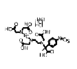 C[C@](C(=O)O)(c1ccc(N=C=S)cc1)N(CCN(CCN(CC(=O)O)CC(=O)O)CC(=O)O)CC(=O)O.Cl.Cl.Cl